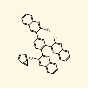 FC(F)(F)c1nc2ccccc2nc1-c1ccc(-c2nc3ccccc3nc2C(F)(F)F)c(-c2nc3ccccc3nc2C(F)(F)F)c1.c1cc2cc-2c1